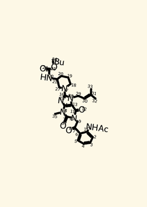 CC(=O)Nc1ccccc1C(=O)Cn1c(=O)c2c(nc(N3CCCC(NC(=O)OC(C)(C)C)C3)n2CC=C(C)C)n(C)c1=O